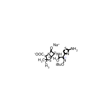 CC(C)CO/N=C(\C(=O)N[C@H]1C(=O)N2[C@@H]1SC(C)(C)[C@@H]2C(=O)[O-])c1csc(N)n1.[Na+]